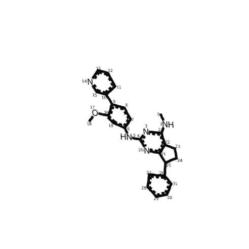 CNc1nc(Nc2ccc(-c3cccnc3)c(OC)c2)nc2c1CCC2c1ccccc1